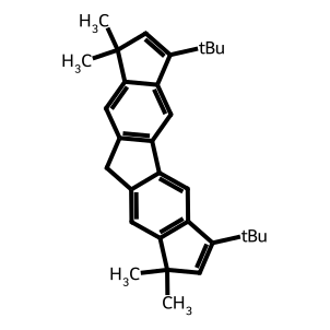 CC(C)(C)C1=CC(C)(C)c2cc3c(cc21)-c1cc2c(cc1C3)C(C)(C)C=C2C(C)(C)C